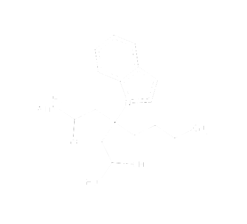 [AlH3].[CH2]CCCC(CC(C)C)(CC(C)C)n1ccc2ccccc21